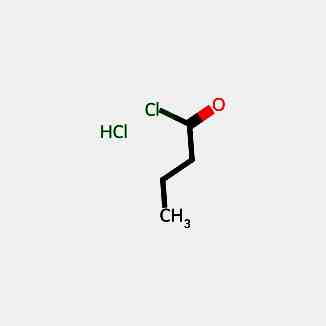 CCCC(=O)Cl.Cl